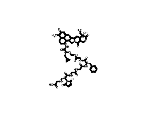 CC[C@@]1(O)C(=O)OCc2c1cc1n(c2=O)Cc2c-1nc1cc(F)c(C)c3c1c2[C@@H](NC(=O)[C@H](CC1CC1)OCNC(=O)CNC(=O)[C@H](Cc1ccccc1)NC(=O)CNC(=O)CNC(=O)[C@@H](CNCC(=O)O)N1C(=O)C=CC1=O)CC3